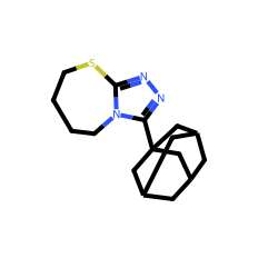 C1CCn2c(nnc2C23CC4CC(CC(C4)C2)C3)SC1